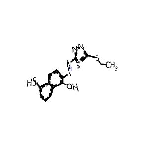 CCSc1nnc(/N=N/c2ccc3c(S)cccc3c2O)s1